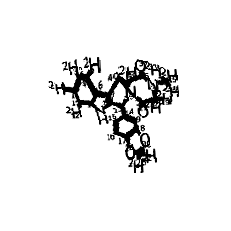 [2H]c1c([2H])c([2H])c2c3c([nH]c2c1[2H])C(c1ccc2c(c1)OC([2H])([2H])O2)N1C(=O)C([2H])([2H])N(C([2H])([2H])[2H])C(=O)[C@@]1([2H])C3